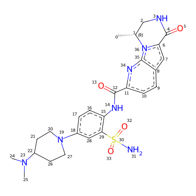 C[C@@H]1CNC(=O)c2cc3ccc(C(=O)Nc4ccc(N5CCC(N(C)C)CC5)cc4S(N)(=O)=O)nc3n21